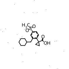 CS(=O)(=O)c1ccc(C2(C(=O)O)CC2)c(CC2CCCCC2)c1